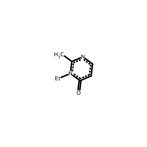 CCn1c(C)nccc1=O